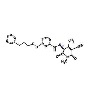 CC1=C(C#N)C(=O)N(C)C(=O)/C1=N\Nc1cccc(OOCCCc2ccccc2)c1